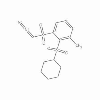 [N-]=[N+]=CS(=O)(=O)c1cccc(C(F)(F)F)c1S(=O)(=O)C1CCCCC1